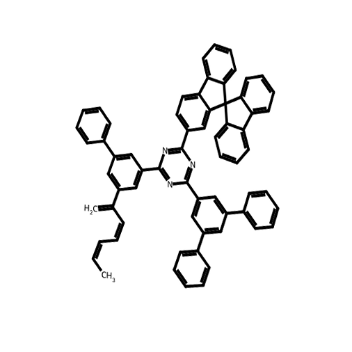 C=C(/C=C\C=C/C)c1cc(-c2ccccc2)cc(-c2nc(-c3cc(-c4ccccc4)cc(-c4ccccc4)c3)nc(-c3ccc4c(c3)C3(c5ccccc5-c5ccccc53)c3ccccc3-4)n2)c1